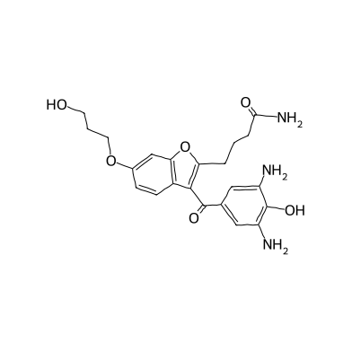 NC(=O)CCCc1oc2cc(OCCCO)ccc2c1C(=O)c1cc(N)c(O)c(N)c1